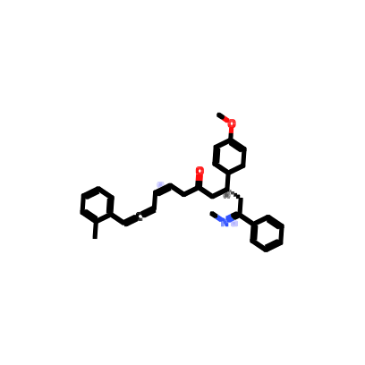 C/N=C(\C[C@H](CC(=O)C/C=C\C=C=Cc1ccccc1C)C1C=CC(OC)=CC1)c1ccccc1